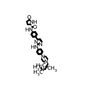 CN(C)CC(C)(C)CN1CCN(c2ccc(Nc3nccc(-c4ccc(NC(=O)[C@@H]5CCC(=O)N5)cc4)n3)cc2)CC1